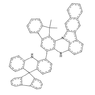 CC1(C)c2ccccc2-c2cc(-c3cccc4c3Nc3ccccc3C43c4ccccc4-c4ccccc43)c3c(c21)-n1c2cc4ccccc4cc2c2cccc(c21)B3